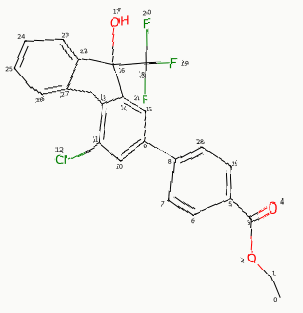 CCOC(=O)c1ccc(-c2cc(Cl)c3c(c2)C(O)(C(F)(F)F)c2ccccc2-3)cc1